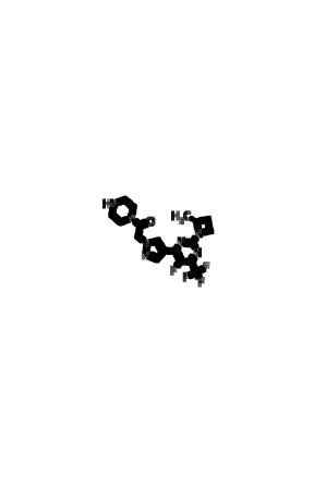 C[C@H]1CCN1c1nc(-c2cnn(CC(=O)N3CCNCC3)c2)c(F)c(C(F)(F)F)n1